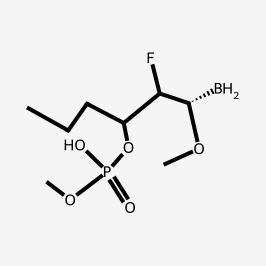 B[C@H](OC)C(F)C(CCC)OP(=O)(O)OC